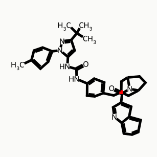 Cc1ccc(-n2nc(C(C)(C)C)cc2NC(=O)Nc2ccc(CC3CC4CCC(C3)N4C(=O)c3cnc4ccccc4c3)cc2)cc1